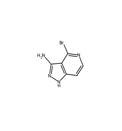 Nc1n[nH]c2ccnc(Br)c12